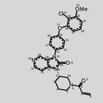 C=CC(=O)N1CCC[C@H](n2c(=O)n(-c3ccc(Oc4cccc(OC)c4Cl)cc3)c3cnccc32)C1